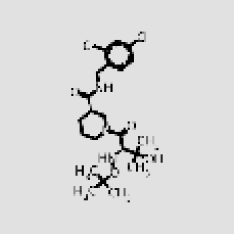 CC(C)(C)ON[C@@H](C(=O)N1CCC[C@@H](C(=O)NCc2ccc(Cl)cc2Cl)C1)C(C)(C)O